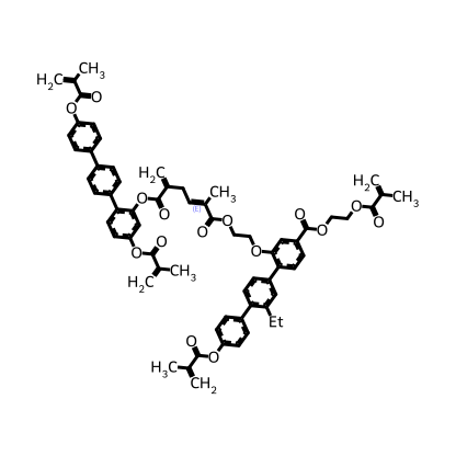 C=C(C)C(=O)OCCOC(=O)c1ccc(-c2ccc(-c3ccc(OC(=O)C(=C)C)cc3)c(CC)c2)c(OCCOC(=O)/C(C)=C/CC(=C)C(=O)Oc2cc(OC(=O)C(=C)C)ccc2-c2ccc(-c3ccc(OC(=O)C(=C)C)cc3)cc2)c1